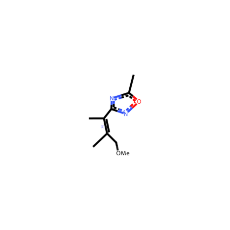 COC/C(C)=C(/C)c1noc(C)n1